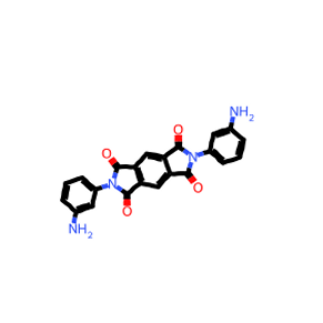 Nc1cccc(-n2c(=O)c3cc4c(=O)n(-c5cccc(N)c5)c(=O)c4cc3c2=O)c1